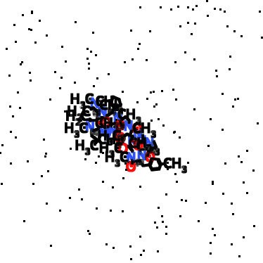 C=C(N)[C@H](CC(C)C)N(C)C(=C)C[C@@H](C(=C)N(C)C)N(C)C(=O)[C@H](C1CCCC1)N(C)C(=O)C1(NC(=O)[C@@H]2CCCN2C(=O)CNC(=O)CN(C)C(=O)[C@H](Cc2ccc(C)cc2)N(CC)C(=O)[C@@H]2CCN2C(=O)CN(C)C(=C)C[C@@H](C)CC)CCCC1